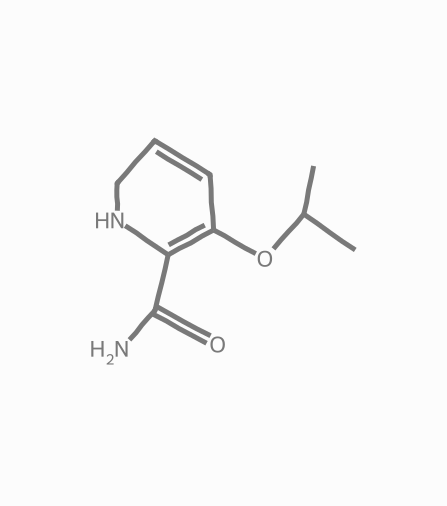 CC(C)OC1=C(C(N)=O)NCC=C1